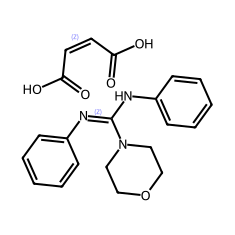 O=C(O)/C=C\C(=O)O.c1ccc(/N=C(/Nc2ccccc2)N2CCOCC2)cc1